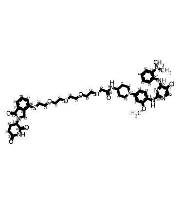 COc1cc(N2CCC(NC(=O)COCCOCCOCCOCCSc3cccc4c3CN(C3CCC(=O)NC3=O)C4=O)CC2)ccc1Nc1ncc(Cl)c(Nc2ccccc2P(C)C)n1